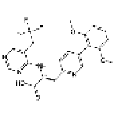 COc1cccc(OC)c1-c1ccc(C[C@H](Nc2ncncc2CC(F)(F)F)C(=O)O)nc1